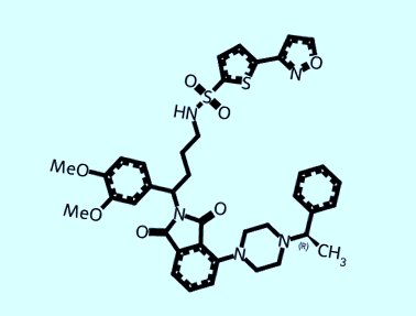 COc1ccc(C(CCCNS(=O)(=O)c2ccc(-c3ccon3)s2)N2C(=O)c3cccc(N4CCN([C@H](C)c5ccccc5)CC4)c3C2=O)cc1OC